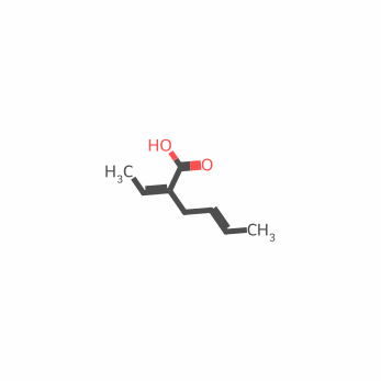 CC=CCC(=CC)C(=O)O